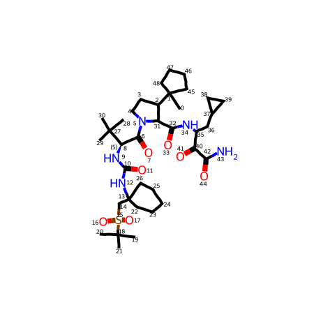 CC1(C2CCN(C(=O)[C@@H](NC(=O)NC3(CS(=O)(=O)C(C)(C)C)CCCCC3)C(C)(C)C)C2C(=O)NC(CC2CC2)C(=O)C(N)=O)CCCC1